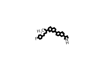 CCC(CCCC1CCC(F)CC1)C1=CC2C=C(C3CCC4CC(C5CCNC5)C=CC4C3)CCC2CC1